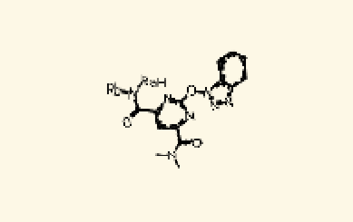 CN(C)C(=O)c1cc(C(=O)[N]([Rb])[RaH])nc(On2nnc3ccccc32)n1